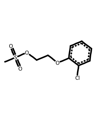 CS(=O)(=O)OCCOc1ccccc1Cl